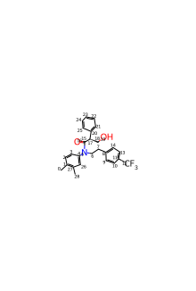 Cc1ccc(N(CCc2ccc(C(F)(F)F)cc2)C(=O)[C@H](CO)c2ccccc2)cc1C